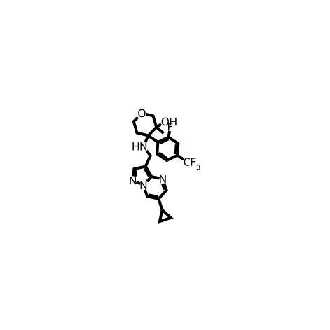 CC1(O)COCCC1(NCc1cnn2cc(C3CC3)cnc12)c1ccc(C(F)(F)F)cc1F